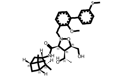 COc1c(CN2O[C@@H](CO)[C@@H]([C@H](C)O)[C@H]2C(=O)N[C@H]2C[C@H]3C[C@@H]([C@@H]2C)C3(C)C)cccc1-c1cccc(SC)c1